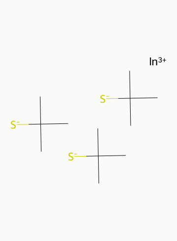 CC(C)(C)[S-].CC(C)(C)[S-].CC(C)(C)[S-].[In+3]